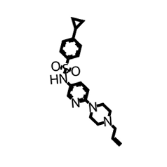 C=CCN1CCN(c2ccc(NS(=O)(=O)c3ccc(C4CC4)cc3)cn2)CC1